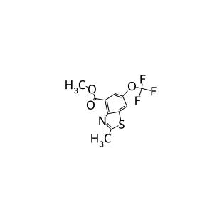 COC(=O)c1cc(OC(F)(F)F)cc2sc(C)nc12